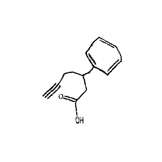 C#CCC(CC(=O)O)c1ccccc1